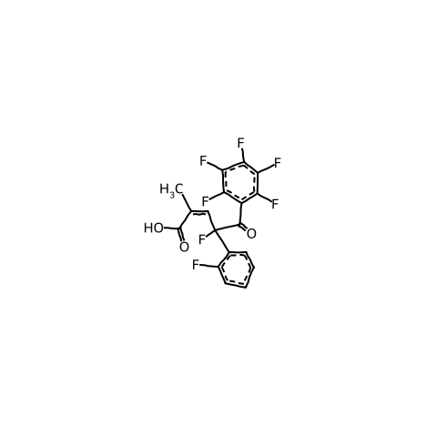 CC(=CC(F)(C(=O)c1c(F)c(F)c(F)c(F)c1F)c1ccccc1F)C(=O)O